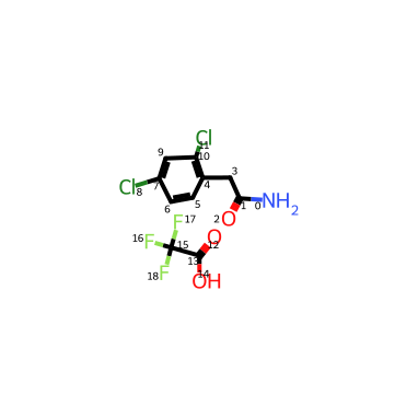 NC(=O)Cc1ccc(Cl)cc1Cl.O=C(O)C(F)(F)F